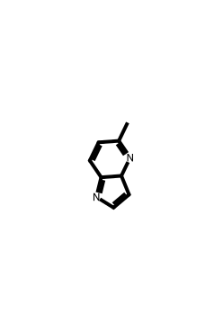 CC1=NC2C=CN=C2C=C1